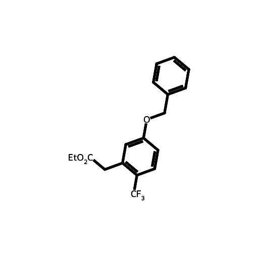 CCOC(=O)Cc1cc(OCc2ccccc2)ccc1C(F)(F)F